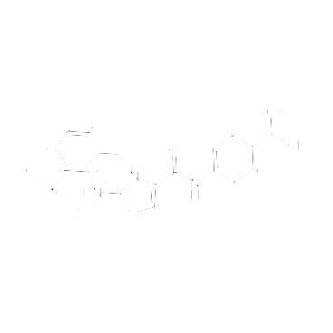 CC(C)c1ccc(NC(=O)c2csc(Nc3c(Cl)cccc3C(F)(F)F)n2)cc1